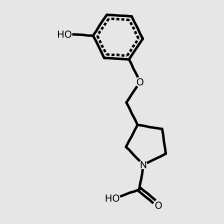 O=C(O)N1CCC(COc2cccc(O)c2)C1